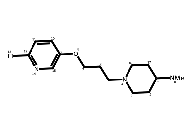 CNC1CCN(CCCOc2ccc(Cl)nc2)CC1